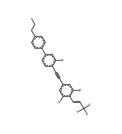 CCCc1ccc(-c2ccc(C#Cc3cc(F)c(/C=C/C(F)(F)F)c(F)c3)c(F)c2)cc1